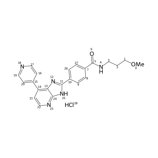 COCCCNC(=O)c1ccc(-c2nc3c(-c4ccncc4)ccnc3[nH]2)cc1.Cl